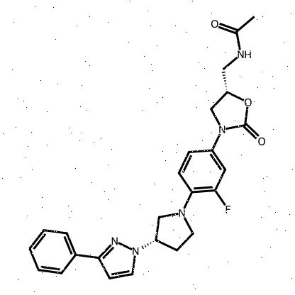 CC(=O)NC[C@H]1CN(c2ccc(N3CC[C@H](n4ccc(-c5ccccc5)n4)C3)c(F)c2)C(=O)O1